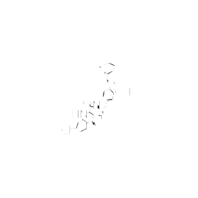 Cc1cc(Cn2nc(O)c3[nH]c4cc(Cl)ccc4c(=O)c3c2=O)ccc1OCc1ccccn1